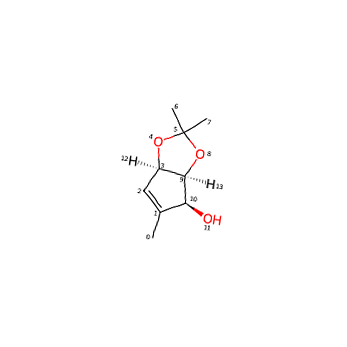 CC1=C[C@H]2OC(C)(C)O[C@H]2[C@H]1O